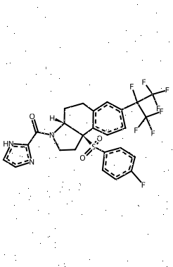 O=C(c1ncc[nH]1)N1CC[C@@]2(S(=O)(=O)c3ccc(F)cc3)c3ccc(C(F)(C(F)(F)F)C(F)(F)F)cc3CC[C@@H]12